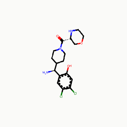 N[C@H](c1cc(Cl)c(Cl)cc1O)C1CCN(C(=O)[C@H]2COCCN2)CC1